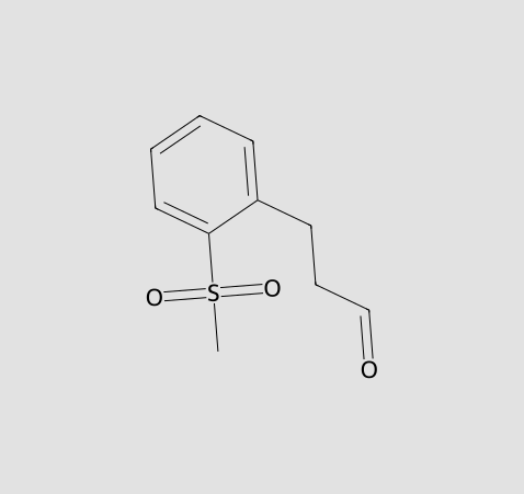 CS(=O)(=O)c1ccccc1CCC=O